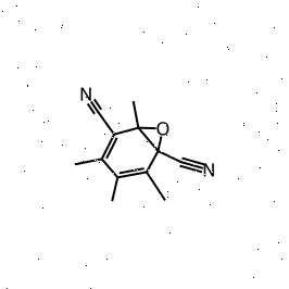 CC1=C(C#N)C2(C)OC2(C#N)C(C)=C1C